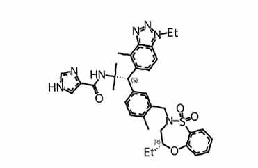 CC[C@@H]1CN(Cc2cc([C@@H](c3ccc4c(nnn4CC)c3C)C(C)(C)NC(=O)c3c[nH]cn3)ccc2C)S(=O)(=O)c2ccccc2O1